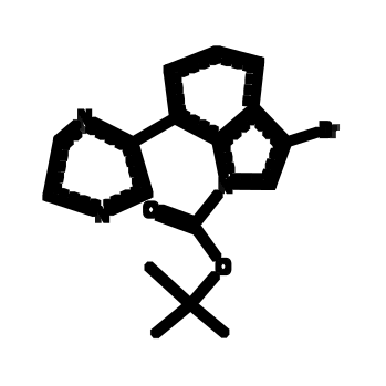 CC(C)(C)OC(=O)n1cc(Br)c2cccc(-c3cnccn3)c21